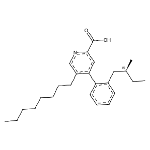 CCCCCCCCc1cnc(C(=O)O)cc1-c1ccccc1C[C@@H](C)CC